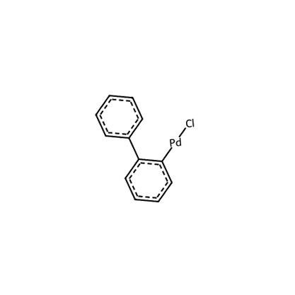 [Cl][Pd][c]1ccccc1-c1ccccc1